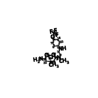 CN(CCNc1ccc(OC(F)(F)F)cc1)C(=O)CC(C)(C)CC(N)=O